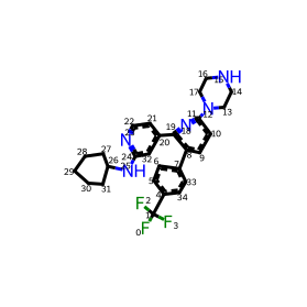 FC(F)(F)c1ccc(-c2ccc(N3CCNCC3)nc2-c2ccnc(NC3CCCCC3)c2)cc1